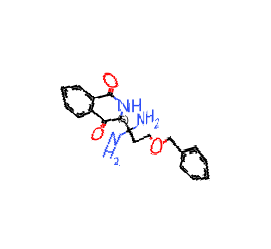 NC(N)(CCOCc1ccccc1)[C@@H]1NC(=O)c2ccccc2C1=O